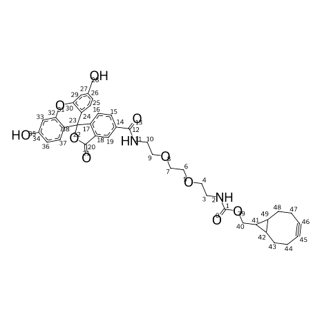 O=C(NCCOCCOCCNC(=O)c1ccc2c(c1)C(=O)OC21c2ccc(O)cc2Oc2cc(O)ccc21)OCC1C2CCC#CCCC21